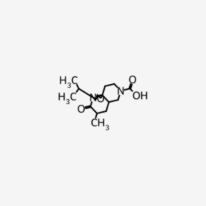 CC1CC2CN(C(=O)O)CCC23OCC(C(C)C)N3C1=O